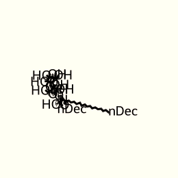 CCCCCCCCCCCCCCCCCCCCCCCCCCC(=O)N[C@@H](CO[C@@H]1O[C@H](CO)[C@@H](O[C@@H]2O[C@H](CO)[C@H](O)C(O)C2O)C(O)C1O)[C@H](O)CCCCCCCCCCC